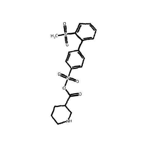 CS(=O)(=O)c1ccccc1-c1ccc(S(=O)(=O)OC(=O)C2CCCNC2)cc1